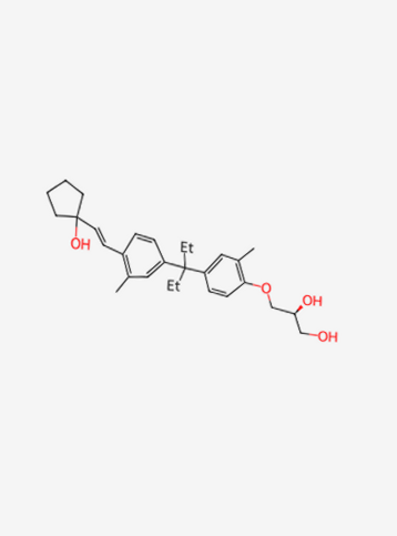 CCC(CC)(c1ccc(/C=C/C2(O)CCCC2)c(C)c1)c1ccc(OC[C@@H](O)CO)c(C)c1